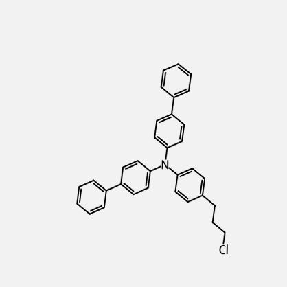 ClCCCc1ccc(N(c2ccc(-c3ccccc3)cc2)c2ccc(-c3ccccc3)cc2)cc1